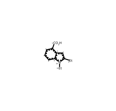 CCc1cc2c(C(=O)O)cccc2n1CC